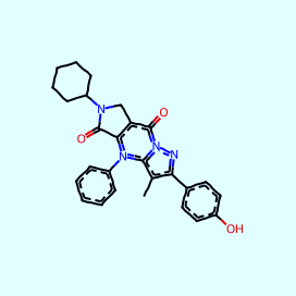 Cc1c(-c2ccc(O)cc2)nn2c(=O)c3c(n(-c4ccccc4)c12)C(=O)N(C1CCCCC1)C3